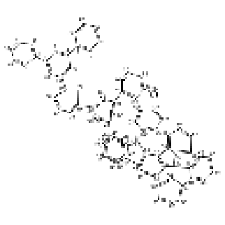 c1ccc(-c2cc(-c3ccccc3)cc(-c3cccc(-c4nc(-c5ccccc5)nc(-c5cccc6oc7ccc(-n8c9ccccc9c9ccc%10c(c98)-c8ccccc8C%108c9ccccc9-c9ccccc98)cc7c56)n4)c3)c2)cc1